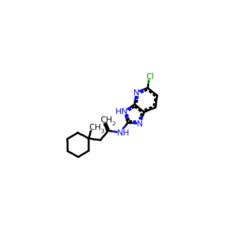 C=C(CC1(C)CCCCC1)Nc1nc2ccc(Cl)nc2[nH]1